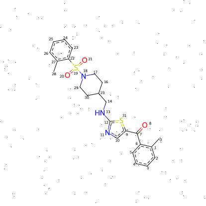 Cc1ccccc1C(=O)c1cnc(NCC2CCN(S(=O)(=O)c3ccccc3C)CC2)s1